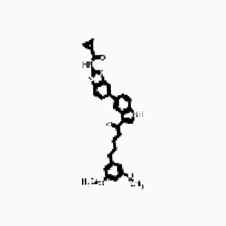 COc1cc(CCCCC(=O)c2c[nH]c3ccc(-c4ccc5nc(NC(=O)C6CC6)sc5c4)cc23)cc(OC)c1